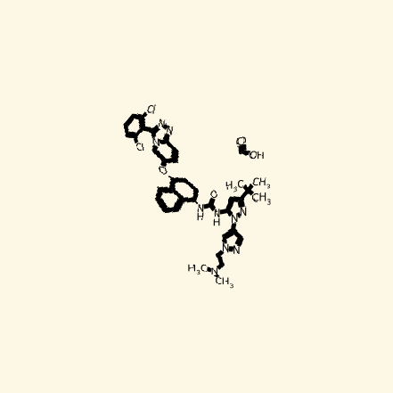 CN(C)CCn1cc(-n2nc(C(C)(C)C)cc2NC(=O)N[C@H]2CC[C@@H](Oc3ccc4nnc(-c5c(Cl)cccc5Cl)n4c3)c3ccccc32)cn1.O=CO